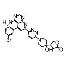 Nc1ncnc2nc(-c3ccc(N4CCC(O)(C5COC(=O)C5)CC4)nn3)cc(-c3cccc(Br)c3)c12